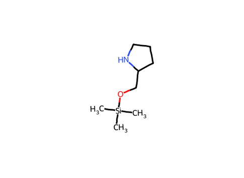 C[Si](C)(C)OCC1CCCN1